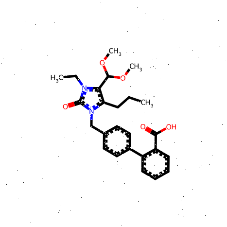 CCCc1c(C(OC)OC)n(CC)c(=O)n1Cc1ccc(-c2ccccc2C(=O)O)cc1